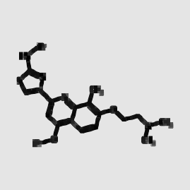 Cc1c(OCCN(C)C)ccc2c(OC(C)C)cc(-c3csc(NC(C)C)n3)nc12